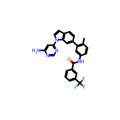 Cc1ccc(NC(=O)c2cccc(C(F)(F)F)c2)cc1-c1ccc2ccn(-c3cc(N)ncn3)c2c1